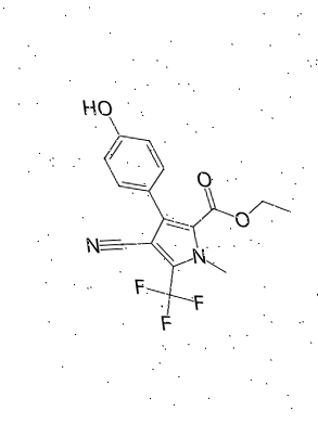 CCOC(=O)c1c(-c2ccc(O)cc2)c(C#N)c(C(F)(F)F)n1C